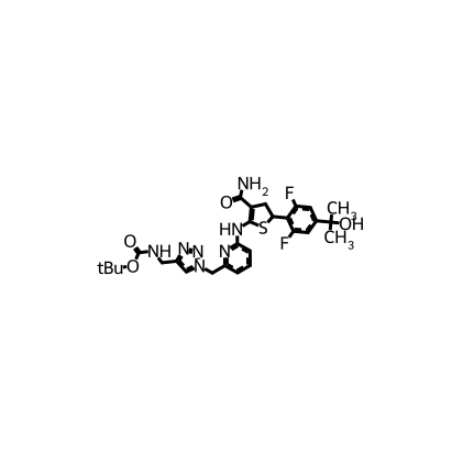 CC(C)(C)OC(=O)NCc1cn(Cc2cccc(NC3=C(C(N)=O)CC(c4c(F)cc(C(C)(C)O)cc4F)S3)n2)nn1